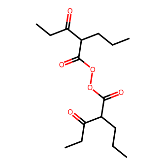 CCCC(C(=O)CC)C(=O)OOC(=O)C(CCC)C(=O)CC